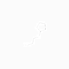 CCCCCCSC1CCCC1